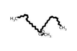 CCCCC/C=C\C/C=C\CCCCCCCCC1(CCCCCCCC/C=C\C/C=C\CCCCC)OCC(C)O1